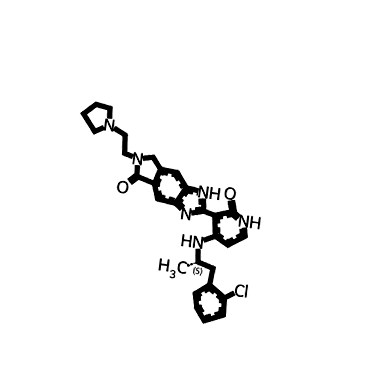 C[C@@H](Cc1ccccc1Cl)Nc1cc[nH]c(=O)c1-c1nc2cc3c(cc2[nH]1)CN(CCN1CCCC1)C3=O